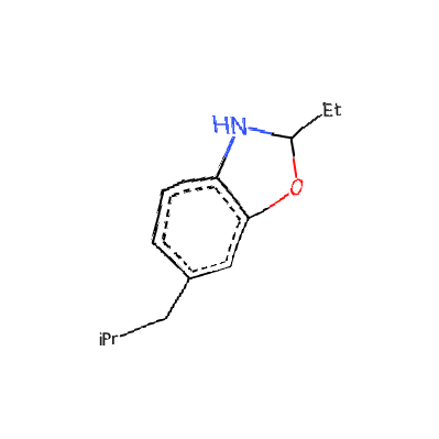 CCC1Nc2ccc(CC(C)C)cc2O1